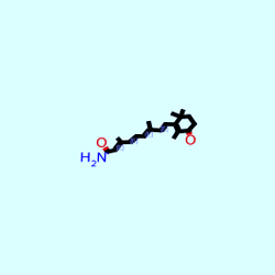 CC1=C(/C=C/C(C)=C/C=C/C(C)=C/C(N)=O)C(C)(C)CCC1=O